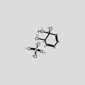 O=S(=O)(Cl)Cl.OC1(Cl)C=CC=CC1Cl